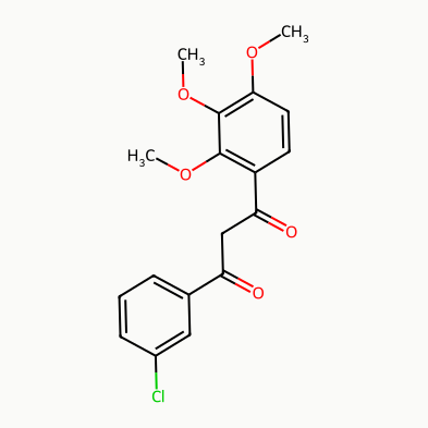 COc1ccc(C(=O)CC(=O)c2cccc(Cl)c2)c(OC)c1OC